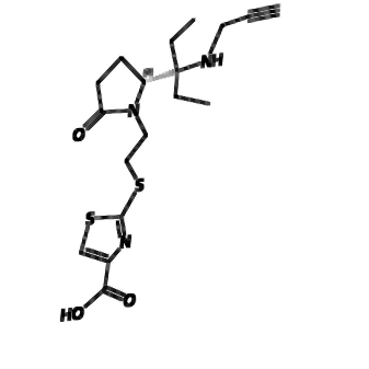 C#CCNC(CC)(CC)[C@H]1CCC(=O)N1CCSc1nc(C(=O)O)cs1